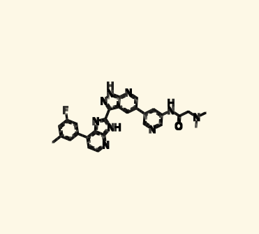 Cc1cc(F)cc(-c2ccnc3[nH]c(-c4n[nH]c5ncc(-c6cncc(NC(=O)CN(C)C)c6)cc45)nc23)c1